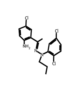 CCCN(/N=C(\C)c1cc(Cl)ccc1N)c1cc(Cl)ccc1Cl